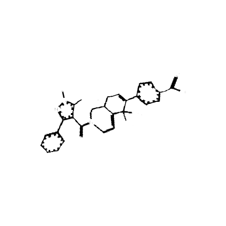 Cn1nc(-c2ccccc2)c(C(=O)N2CC=C3C(C)(C)C(c4ccc(C(=O)O)cc4)=CC[C@]3(C)C2)c1Cl